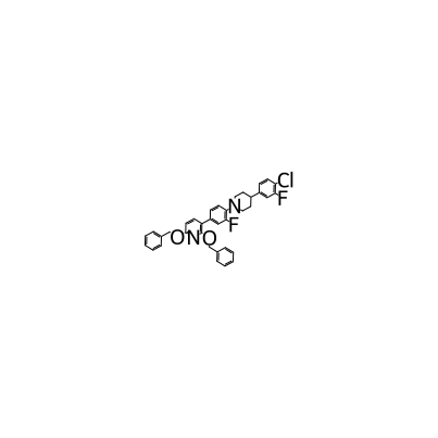 Fc1cc(C2CCN(c3ccc(-c4ccc(OCc5ccccc5)nc4OCc4ccccc4)cc3F)CC2)ccc1Cl